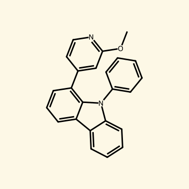 COc1cc(-c2cccc3c4ccccc4n(-c4ccccc4)c23)ccn1